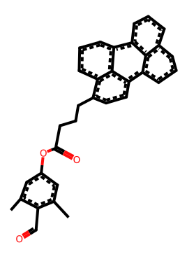 Cc1cc(OC(=O)CCCc2ccc3c4cccc5cccc(c6cccc2c63)c54)cc(C)c1C=O